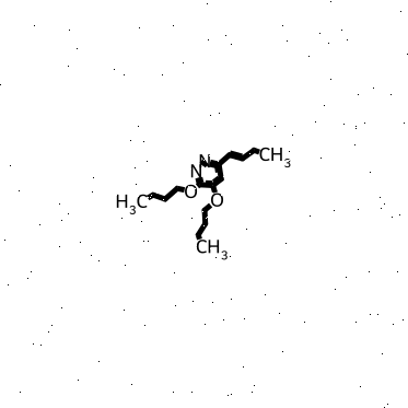 CC/C=C/c1cc(OCCCC)c(OCCCC)nn1